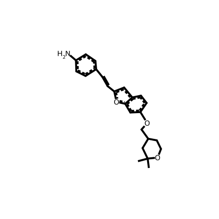 CC1(C)CC(COc2ccc3cc(C=Cc4ccc(N)cc4)oc3c2)CCO1